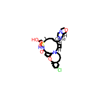 CO[C@@]1(CN2CCN3CCOC[C@@H]3C2)/C=C/C[C@H](C)[C@@H](CCO)S(=O)(=O)NC(=O)c2ccc3c(c2)N(CCCCC2C=C(Cl)C=CC2(C)CO3)C[C@@H]2CC[C@H]21